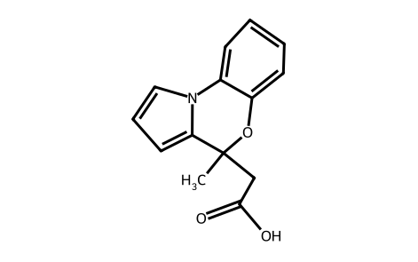 CC1(CC(=O)O)Oc2ccccc2-n2cccc21